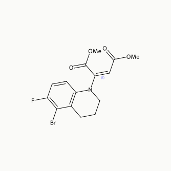 COC(=O)/C=C(\C(=O)OC)N1CCCc2c1ccc(F)c2Br